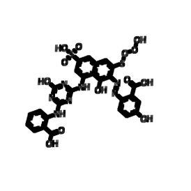 O=C(O)c1cc(O)ccc1N=Nc1c(SOOO)cc2cc(S(=O)(=O)O)cc(Nc3nc(O)nc(Nc4ccccc4C(=O)O)n3)c2c1O